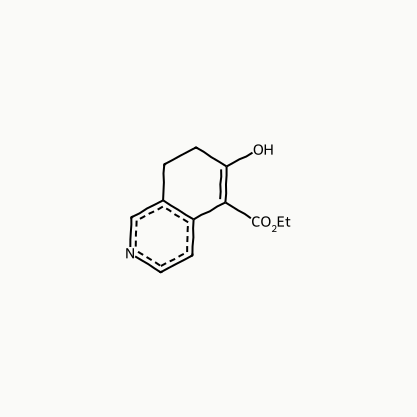 CCOC(=O)C1=C(O)CCc2cnccc21